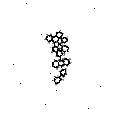 c1ccc(C2(c3ccccc3)c3c(ccc4cc(-c5c6ccccc6c(-c6ccc7oc8ccccc8c7c6)c6ccccc56)ccc34)-c3c2c2ccccc2c2ccccc32)cc1